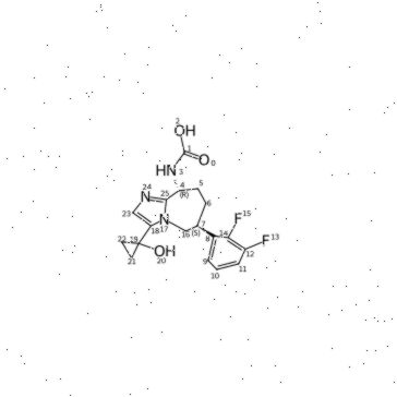 O=C(O)N[C@@H]1CC[C@@H](c2cccc(F)c2F)Cn2c(C3(O)CC3)cnc21